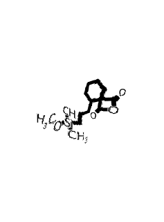 CO[Si](C)(C)CCCC1CCCCC12C(=O)OC2=O